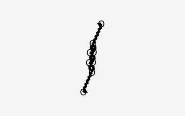 O=C(Oc1ccc(OCCCCCCCCCC2CO2)cc1)c1ccc(OC(=O)C2CCC(OCCCCCCCCCC3CO3)CC2)cc1